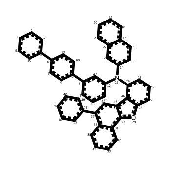 c1ccc(-c2ccc(-c3cccc(N(c4ccc5ccccc5c4)c4cccc5oc6c7ccccc7c(-c7ccccc7)cc6c45)c3)cc2)cc1